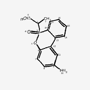 CCCCCCCCC(C)P1(=O)Oc2ccc(N)cc2-c2ccccc21